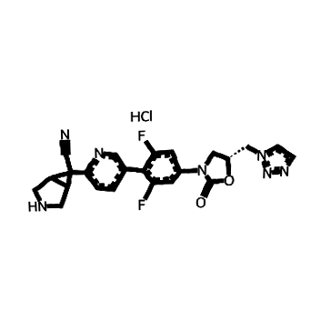 Cl.N#CC1(c2ccc(-c3c(F)cc(N4C[C@H](Cn5ccnn5)OC4=O)cc3F)cn2)C2CNCC21